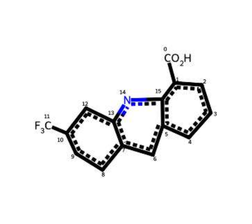 O=C(O)c1cccc2cc3ccc(C(F)(F)F)cc3nc12